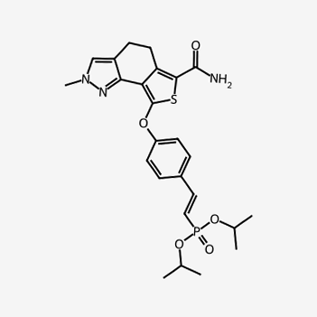 CC(C)OP(=O)(C=Cc1ccc(Oc2sc(C(N)=O)c3c2-c2nn(C)cc2CC3)cc1)OC(C)C